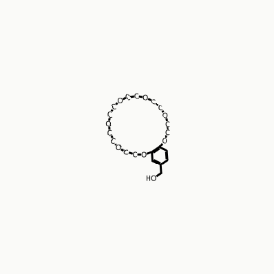 OCc1ccc2c(c1)OCCOCCOCCOCCOCCOCCO2